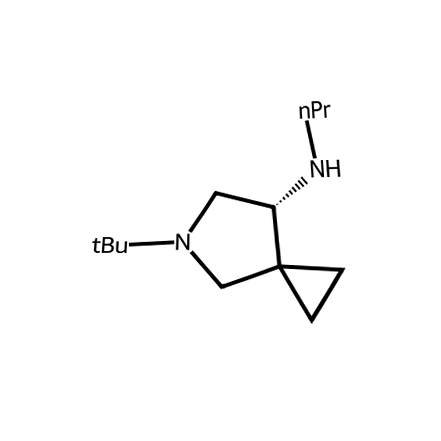 CCCN[C@H]1CN(C(C)(C)C)CC12CC2